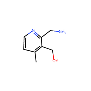 Cc1ccnc(CN)c1CO